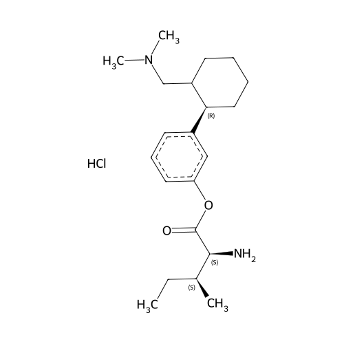 CC[C@H](C)[C@H](N)C(=O)Oc1cccc([C@@H]2CCCCC2CN(C)C)c1.Cl